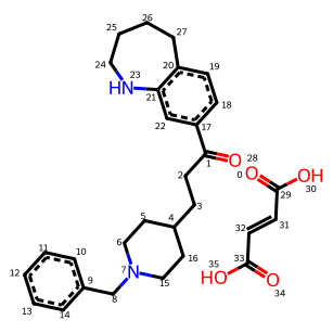 O=C(CCC1CCN(Cc2ccccc2)CC1)c1ccc2c(c1)NCCCC2.O=C(O)/C=C/C(=O)O